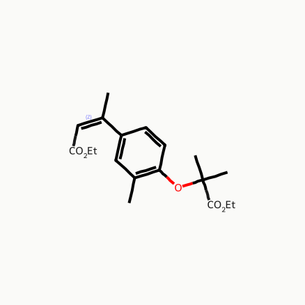 CCOC(=O)/C=C(/C)c1ccc(OC(C)(C)C(=O)OCC)c(C)c1